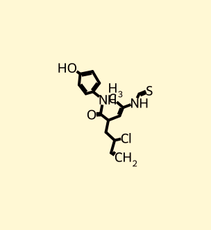 C=CC(Cl)CC(/C=C(\C)NC=S)C(=O)Nc1ccc(O)cc1